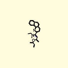 C=CC(=C)OC(=C)/C=C(/c1ccc2ccc3ccccc3c2n1)N(C)CC